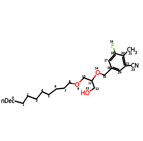 CCCCCCCCCCCCCCCCCCOCC(CO)OCc1cc(F)c(C)c(C#N)c1